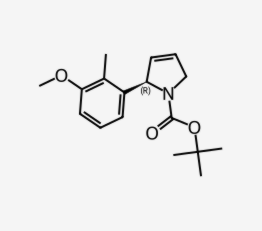 COc1cccc([C@H]2C=CCN2C(=O)OC(C)(C)C)c1C